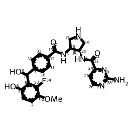 COc1ccc(O)c(C(O)c2ccc(C(=O)NC3CNC[C@H]3NC(=O)c3ccnc(N)n3)cc2)c1F